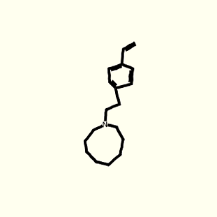 C=Cc1ccc(CCN2CCCCCCCC2)cc1